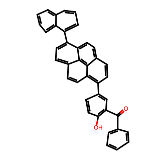 O=C(c1ccccc1)c1cc(-c2ccc3ccc4c(-c5cccc6ccccc56)ccc5ccc2c3c54)ccc1O